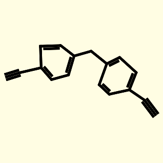 C#Cc1ccc(Cc2ccc(C#C)cc2)cc1